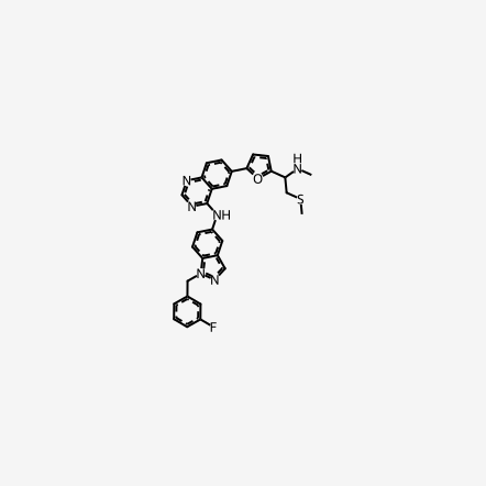 CNC(CSC)c1ccc(-c2ccc3ncnc(Nc4ccc5c(cnn5Cc5cccc(F)c5)c4)c3c2)o1